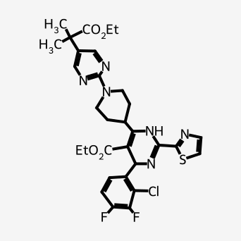 CCOC(=O)C1=C(C2CCN(c3ncc(C(C)(C)C(=O)OCC)cn3)CC2)NC(c2nccs2)=NC1c1ccc(F)c(F)c1Cl